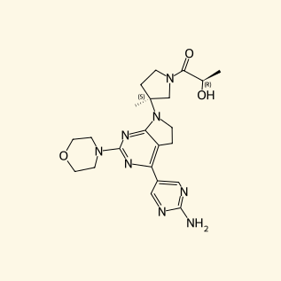 C[C@@H](O)C(=O)N1CC[C@](C)(N2CCc3c(-c4cnc(N)nc4)nc(N4CCOCC4)nc32)C1